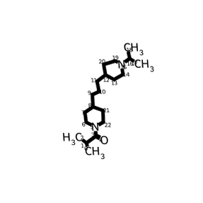 CC(C)C(=O)N1CCC(CCCC2CCN(C(C)C)CC2)CC1